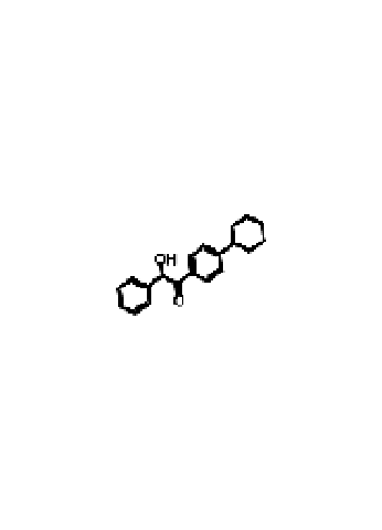 O=C(c1ccc(C2CCCCC2)cc1)C(O)c1ccccc1